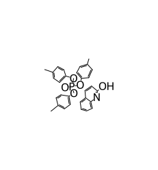 Cc1ccc(OP(=O)(Oc2ccc(C)cc2)Oc2ccc(C)cc2)cc1.Oc1ccc2ccccc2n1